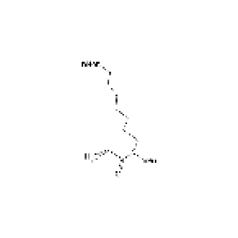 C=CC(=O)N(CCCC)CCCCCCCCCCCCCCCC